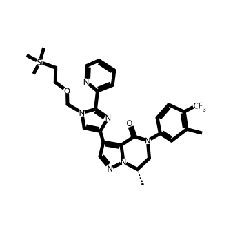 Cc1cc(N2C[C@H](C)n3ncc(-c4cn(COCC[Si](C)(C)C)c(-c5ccccn5)n4)c3C2=O)ccc1C(F)(F)F